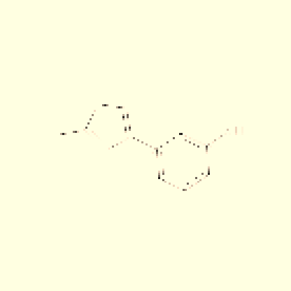 CCc1cc(-c2cccc(C#N)c2)cs1